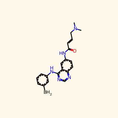 Bc1cccc(Nc2ncnc3ccc(NC(=O)/C=C/CN(C)C)cc23)c1